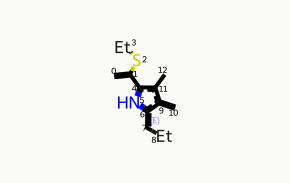 C=C(SCC)c1[nH]/c(=C/CC)c(=C)c1C